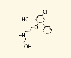 CN(CCO)CCCOc1ccc(Cl)cc1-c1ccccc1.Cl